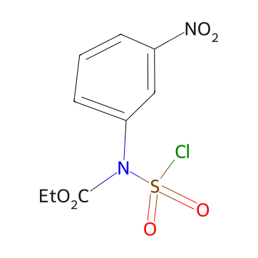 CCOC(=O)N(c1cccc([N+](=O)[O-])c1)S(=O)(=O)Cl